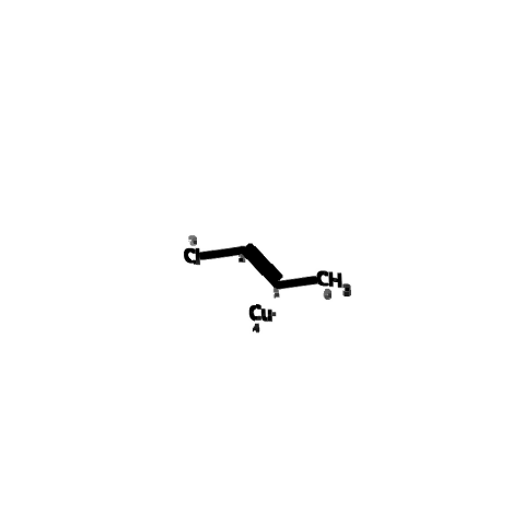 CC=CCl.[Cu]